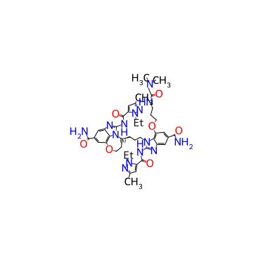 CCn1nc(C)cc1C(=O)Nc1nc2cc(C(N)=O)cc(OCCCNC(=O)CN(C)C)c2n1CCC[C@H]1CCOc2cc(C(N)=O)cc3nc(NC(=O)c4cc(C)nn4CC)n1c23